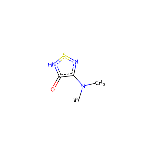 CC(C)N(C)c1ns[nH]c1=O